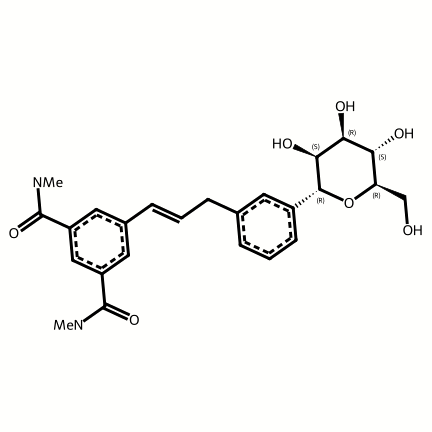 CNC(=O)c1cc(C=CCc2cccc([C@H]3O[C@H](CO)[C@@H](O)[C@H](O)[C@@H]3O)c2)cc(C(=O)NC)c1